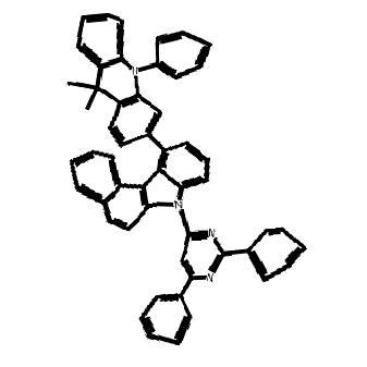 CC1(C)c2ccccc2N(c2ccccc2)c2cc(-c3cccc4c3c3c5ccccc5ccc3n4-c3cc(-c4ccccc4)nc(-c4ccccc4)n3)ccc21